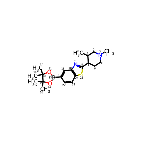 CC1CN(C)CCC1c1nc2cc(B3OC(C)(C)C(C)(C)O3)ccc2s1